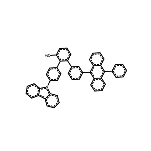 N#Cc1cccc(-c2cccc(-c3c4ccccc4c(-c4ccccc4)c4ccccc34)c2)c1-c1ccc(-n2c3ccccc3c3ccccc32)cc1